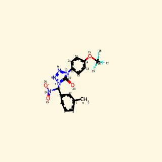 Cc1cccc(C(n2nnn(-c3ccc(OC(F)(F)F)cc3)c2=O)[N+](=O)[O-])c1